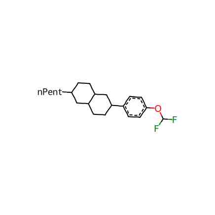 CCCCCC1CCC2CC(c3ccc(OC(F)F)cc3)CCC2C1